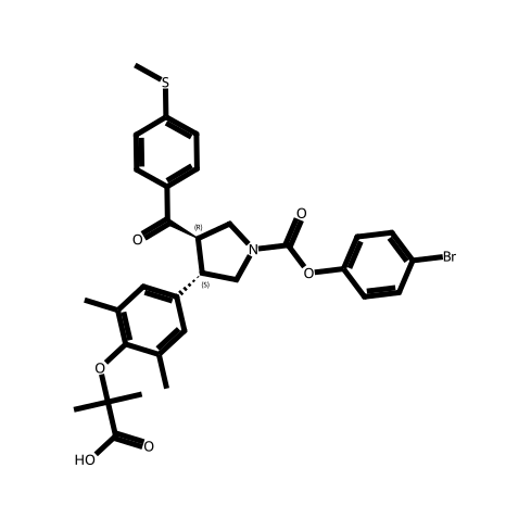 CSc1ccc(C(=O)[C@H]2CN(C(=O)Oc3ccc(Br)cc3)C[C@@H]2c2cc(C)c(OC(C)(C)C(=O)O)c(C)c2)cc1